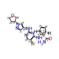 NC(=O)[C@@H]1[C@H](Nc2nc(Nc3cnn([C@H]4CCOC4)c3)ncc2Br)[C@H]2C=C[C@@H]1C2